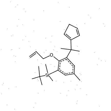 C=CCOc1c(C(C)(C)C2=CCC=C2)cc(C)cc1[Si](C)(C)C(C)(C)C